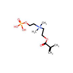 C=C(C)C(=O)OCC[N+](C)(C)CCOP(=O)(O)O